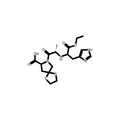 CCOC(=O)C(Cc1c[nH]cn1)N[C@@H](C)C(=O)N1CC2(CC1C(=O)O)SCCS2